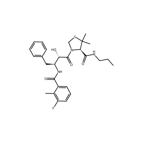 CCCNC(=O)[C@H]1N(C(=O)[C@@H](O)[C@H](Cc2ccccc2)NC(=O)c2cccc(F)c2C)CSC1(C)C